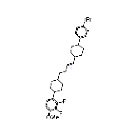 CCCc1ccc(C2CCC(/C=C/CCC3CCC(c4ccc(OC)c(F)c4F)CC3)CC2)cc1